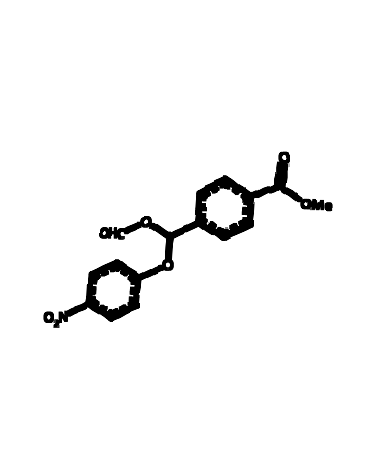 COC(=O)c1ccc(C(OC=O)Oc2ccc([N+](=O)[O-])cc2)cc1